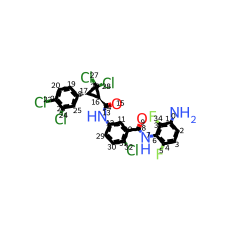 Nc1ccc(F)c(NC(=O)c2cc(NC(=O)[C@H]3[C@H](c4ccc(Cl)c(Cl)c4)C3(Cl)Cl)ccc2Cl)c1F